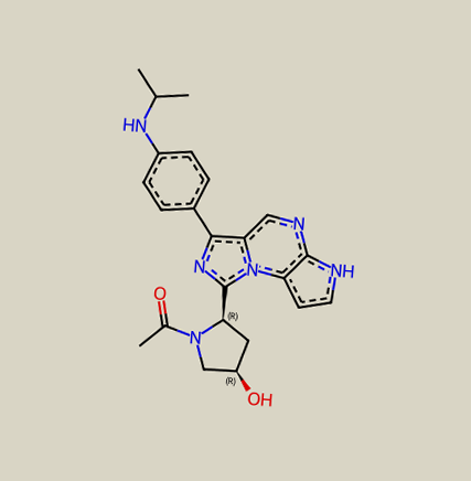 CC(=O)N1C[C@H](O)C[C@@H]1c1nc(-c2ccc(NC(C)C)cc2)c2cnc3[nH]ccc3n12